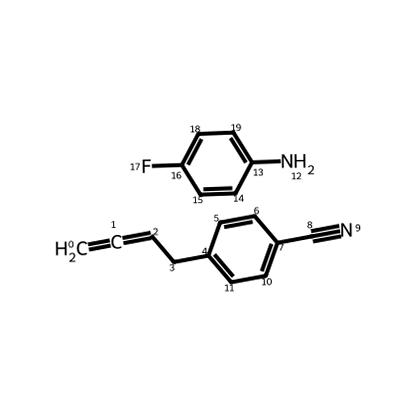 C=C=CCc1ccc(C#N)cc1.Nc1ccc(F)cc1